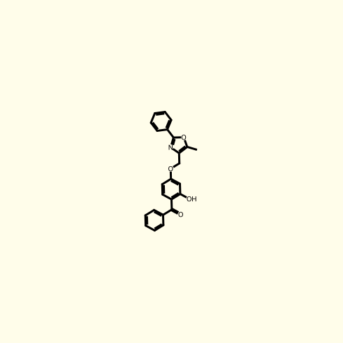 Cc1oc(-c2ccccc2)nc1COc1ccc(C(=O)c2ccccc2)c(O)c1